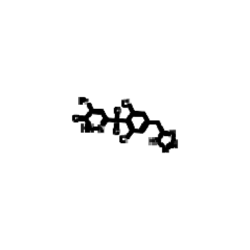 CC(C)c1cc(S(=O)(=O)c2c(Cl)cc(Cc3nnn[nH]3)cc2Cl)n[nH]c1=O